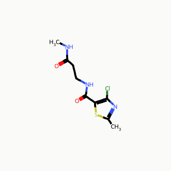 CNC(=O)CCNC(=O)c1sc(C)nc1Cl